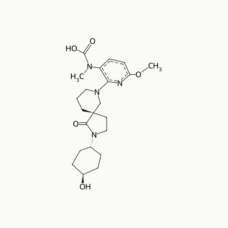 COc1ccc(N(C)C(=O)O)c(N2CCC[C@]3(CCN([C@H]4CC[C@H](O)CC4)C3=O)C2)n1